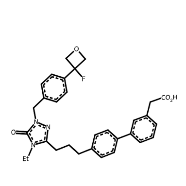 CCn1c(CCCc2ccc(-c3cccc(CC(=O)O)c3)cc2)nn(Cc2ccc(C3(F)COC3)cc2)c1=O